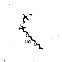 C=CCOCC(O)COCCC(C)(C)OCCC(C)(C)OC